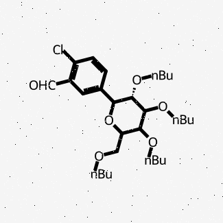 CCCCOCC1OC(c2ccc(Cl)c(C=O)c2)[C@H](OCCCC)C(OCCCC)C1OCCCC